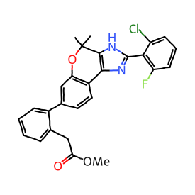 COC(=O)Cc1ccccc1-c1ccc2c(c1)OC(C)(C)c1[nH]c(-c3c(F)cccc3Cl)nc1-2